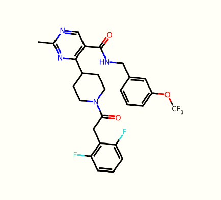 Cc1ncc(C(=O)NCc2cccc(OC(F)(F)F)c2)c(C2CCN(C(=O)Cc3c(F)cccc3F)CC2)n1